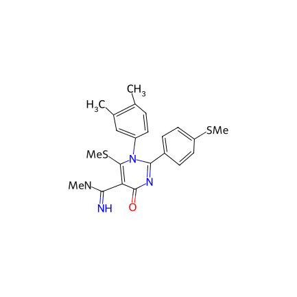 CNC(=N)c1c(SC)n(-c2ccc(C)c(C)c2)c(-c2ccc(SC)cc2)nc1=O